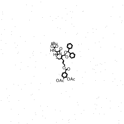 CC(=O)Oc1ccc(C(=O)OC/C=C/C2=C(C(=O)OC(c3ccccc3)c3ccccc3)N3C(=O)C(NC(=O)OC(C)(C)C)[C@H]3SC2)cc1OC(C)=O